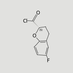 O=C(Cl)[C@@H]1CCc2cc(F)ccc2O1